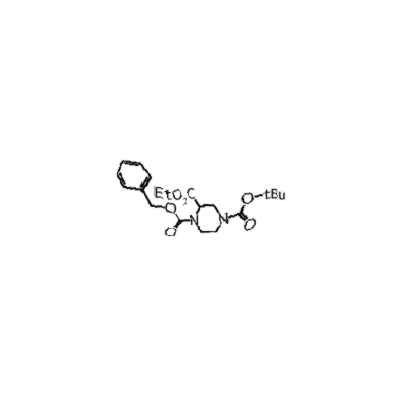 CCOC(=O)C1CN(C(=O)OC(C)(C)C)CCN1C(=O)OCc1ccccc1